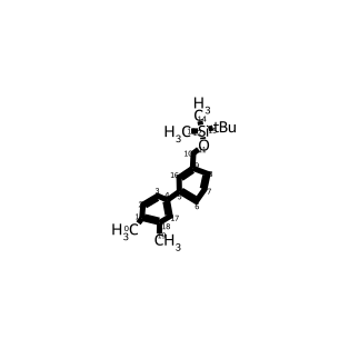 Cc1ccc(-c2cccc(CO[Si](C)(C)C(C)(C)C)c2)cc1C